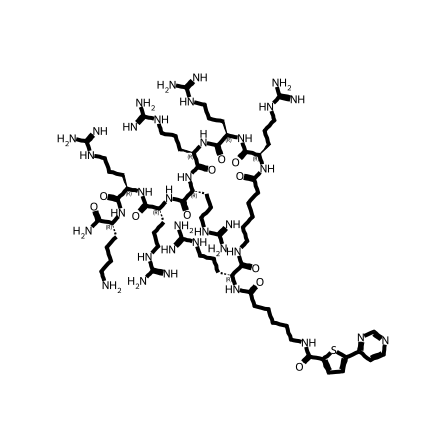 N=C(N)NCCC[C@@H](NC(=O)CCCCCNC(=O)c1ccc(-c2ccncn2)s1)C(=O)NCCCCCC(=O)N[C@H](CCCNC(=N)N)C(=O)N[C@H](CCCNC(=N)N)C(=O)N[C@H](CCCNC(=N)N)C(=O)N[C@H](CCCNC(=N)N)C(=O)N[C@H](CCCNC(=N)N)C(=O)N[C@H](CCCNC(=N)N)C(=O)N[C@H](CCCCN)C(N)=O